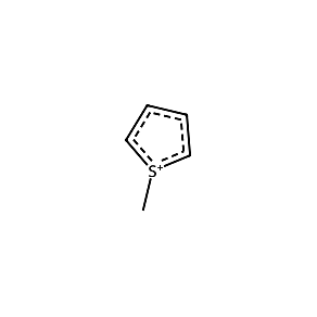 C[s+]1cccc1